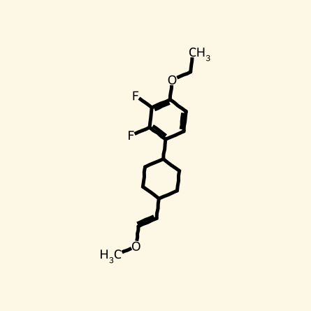 CCOc1ccc(C2CCC(C=COC)CC2)c(F)c1F